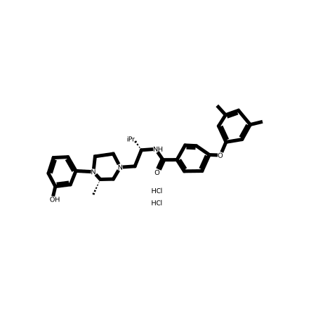 Cc1cc(C)cc(Oc2ccc(C(=O)N[C@H](CN3CCN(c4cccc(O)c4)[C@@H](C)C3)C(C)C)cc2)c1.Cl.Cl